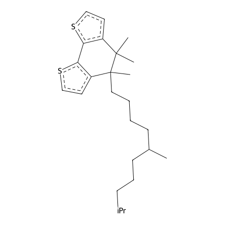 CC(C)CCCC(C)CCCCC1(C)c2ccsc2-c2sccc2C1(C)C